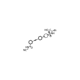 CC(C)C(NS(=O)(=O)N1CCN(c2ccc(C#Cc3cccc(C(=O)NCC#N)c3)cc2)CC1)C(=O)O